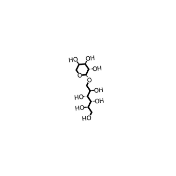 OC[C@@H](O)[C@@H](O)[C@H](O)[C@H](O)CO[C@@H]1OC[C@@H](O)[C@@H](O)[C@@H]1O